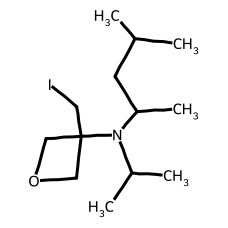 CC(C)CC(C)N(C(C)C)C1(CI)COC1